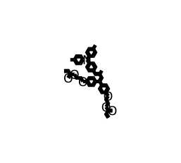 C=CC(=O)OCCOc1ccc(C(=CC(C)=Cc2ccc(N(c3ccc(C)cc3)c3ccc(C)cc3)cc2)c2ccc(OCCOC(=O)C=C)cc2)cc1